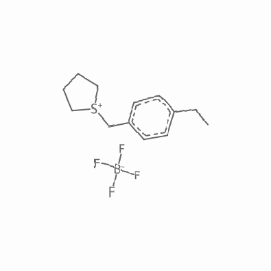 CCc1ccc(C[S+]2CCCC2)cc1.F[B-](F)(F)F